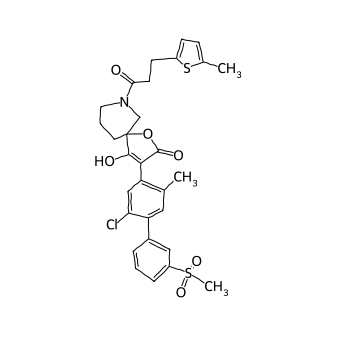 Cc1ccc(CCC(=O)N2CCCC3(C2)OC(=O)C(c2cc(Cl)c(-c4cccc(S(C)(=O)=O)c4)cc2C)=C3O)s1